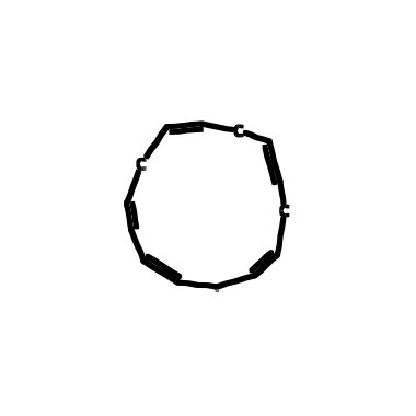 [CH]1C=CC=CCC=CCC=CCC=C1